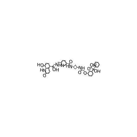 O=C(COc1cccc([C@](O)(C(=O)O)c2ccccc2)c1)NC1CC(NC(=O)c2ccc(CNC[C@H](O)c3ccc(O)c4[nH]c(=O)ccc34)nc2)C1